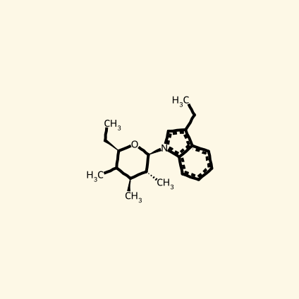 CCc1cn([C@@H]2O[C@H](CC)C(C)[C@H](C)[C@H]2C)c2ccccc12